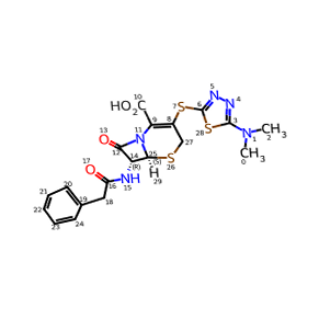 CN(C)c1nnc(SC2=C(C(=O)O)N3C(=O)[C@@H](NC(=O)Cc4ccccc4)[C@@H]3SC2)s1